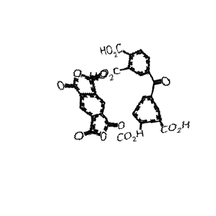 O=C(c1ccc(C(=O)O)c(C(=O)O)c1)c1ccc(C(=O)O)c(C(=O)O)c1.O=c1oc(=O)c2cc3c(=O)oc(=O)c3cc12